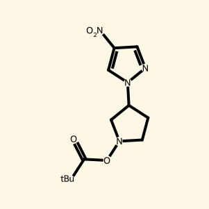 CC(C)(C)C(=O)ON1CCC(n2cc([N+](=O)[O-])cn2)C1